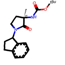 CC(C)(C)OC(=O)N[C@]1(C)CCN(C2CCc3ccccc32)C1=O